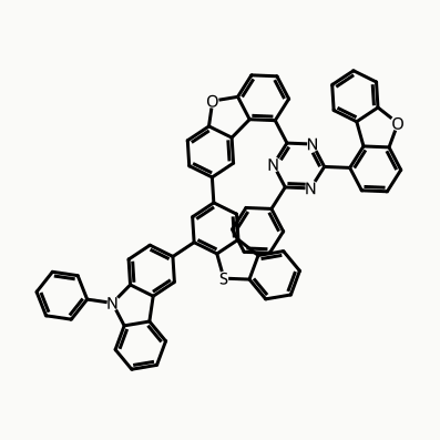 c1ccc(-c2nc(-c3cccc4oc5ccccc5c34)nc(-c3cccc4oc5ccc(-c6cc(-c7ccc8c(c7)c7ccccc7n8-c7ccccc7)c7sc8ccccc8c7c6)cc5c34)n2)cc1